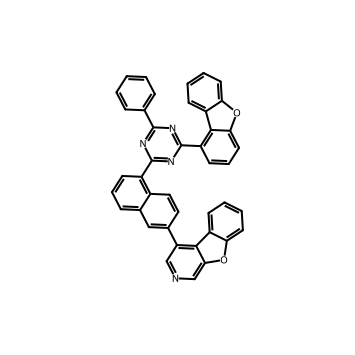 c1ccc(-c2nc(-c3cccc4cc(-c5cncc6oc7ccccc7c56)ccc34)nc(-c3cccc4oc5ccccc5c34)n2)cc1